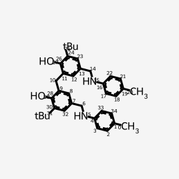 Cc1ccc(NCc2cc(Cc3cc(CNc4ccc(C)cc4)cc(C(C)(C)C)c3O)c(O)c(C(C)(C)C)c2)cc1